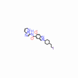 COc1cc2nn(C3CCC(CCI)CC3)cc2cc1C(=O)Nc1cnc2cccnn12